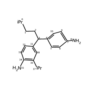 CC(C)CCC(c1ccc(N)cc1)c1ccc(N)c(C(C)C)c1